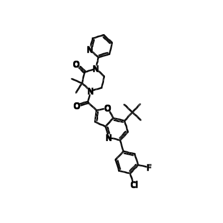 CC(C)(C)c1cc(-c2ccc(Cl)c(F)c2)nc2cc(C(=O)N3CCN(c4ccccn4)C(=O)C3(C)C)oc12